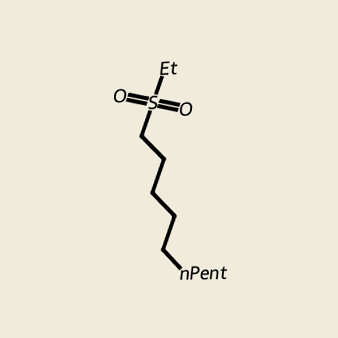 CCCCCCCCCCS(=O)(=O)CC